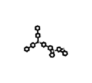 c1ccc(-c2ccc(C3C(c4ccc(-c5ccccc5)cc4)N3c3ccc(-c4ccc5c(c4)c4ccccc4n5-c4ccc5sc6ccccc6c5c4)cc3)cc2)cc1